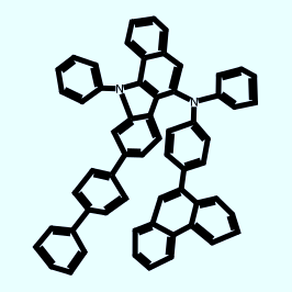 c1ccc(-c2ccc(-c3ccc4c5c(N(c6ccccc6)c6ccc(-c7cc8ccccc8c8ccccc78)cc6)cc6ccccc6c5n(-c5ccccc5)c4c3)cc2)cc1